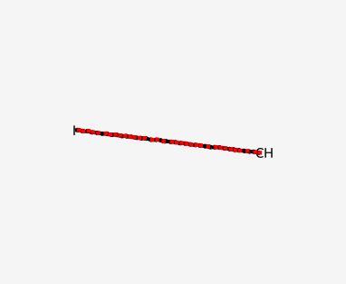 C#CC#CC#CC#CC#CC#CC#CC#CC#CC#CC#CC#CC#CC#CC#CC#CC#CC#CC#CC#CC#CC#CC#CC#CC#CC#CC#CC#CC#CC#CC#CC#CC#CC#CC#CC#CC#CC#CI